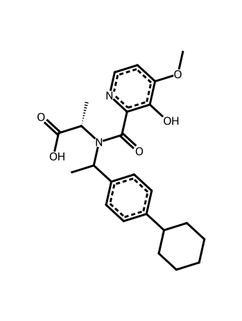 COc1ccnc(C(=O)N(C(C)c2ccc(C3CCCCC3)cc2)[C@@H](C)C(=O)O)c1O